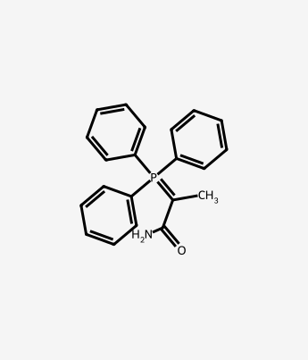 CC(C(N)=O)=P(c1ccccc1)(c1ccccc1)c1ccccc1